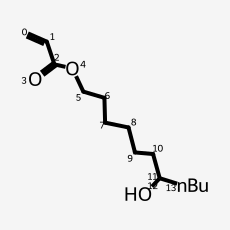 C=CC(=O)OCCCCCCC(O)CCCC